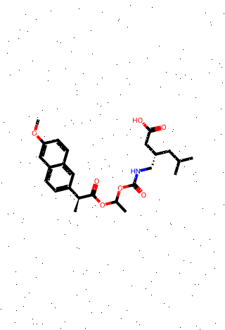 COc1ccc2cc([C@H](C)C(=O)OC(C)OC(=O)NC[C@H](CC(=O)O)CC(C)C)ccc2c1